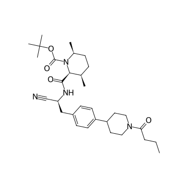 CCCC(=O)N1CCC(c2ccc(C[C@@H](C#N)NC(=O)[C@@H]3[C@H](C)CC[C@H](C)N3C(=O)OC(C)(C)C)cc2)CC1